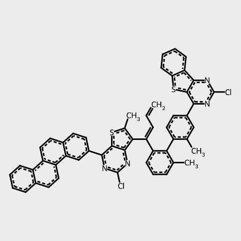 C=C/C=C(/c1cccc(C)c1-c1ccc(-c2nc(Cl)nc3c2sc2ccccc23)cc1C)c1c(C)sc2c(-c3ccc4ccc5c6ccccc6ccc5c4c3)nc(Cl)nc12